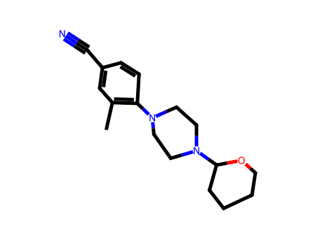 Cc1cc(C#N)ccc1N1CCN(C2CCCCO2)CC1